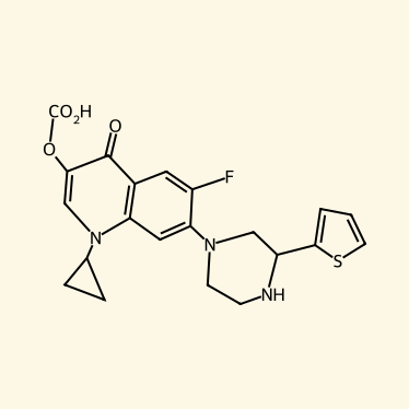 O=C(O)Oc1cn(C2CC2)c2cc(N3CCNC(c4cccs4)C3)c(F)cc2c1=O